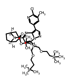 Cc1cc(-c2cnn3c(N(COCC[Si](C)(C)C)COCC[Si](C)(C)C)cc([C@H]4C[C@H]5CC[C@@H](C4)N5C(=O)OC(C)(C)C)nc23)cnc1Cl